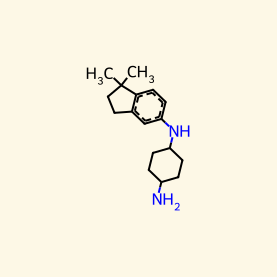 CC1(C)CCc2cc(NC3CCC(N)CC3)ccc21